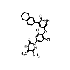 C=C1NC(=O)N(c2cc(Cl)c(Oc3c[nH]c(=O)c(-c4ccc5c(c4)CCCC5)c3)c(Cl)c2)N=C1N